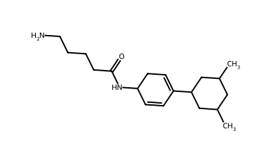 CC1CC(C)CC(C2=CCC(NC(=O)CCCCN)C=C2)C1